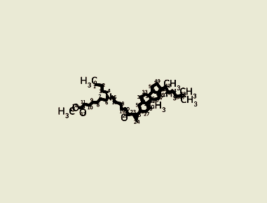 CCCCCN(CCCCCCC(=O)OC)CCCCCC(=O)C1CC1C1CCC2(C)C(=CCC3C2CCC2(C)C(C(C)CCCC(C)C)CCC32)C1